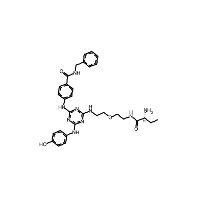 CC[C@@H](N)C(=O)NCCOCCNc1nc(Nc2ccc(O)cc2)nc(Nc2ccc(C(=O)NCc3ccccc3)cc2)n1